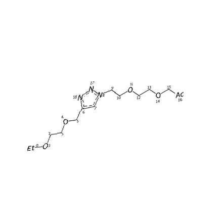 CCOCCOCc1cn(CCOCCOCC(C)=O)nn1